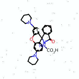 O=C(O)NN1C(=O)c2ccccc2C12c1ccc(N3CCCCC3)cc1Oc1cc(N3CCCCC3)ccc12